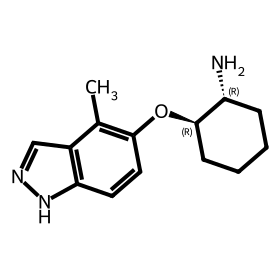 Cc1c(O[C@@H]2CCCC[C@H]2N)ccc2[nH]ncc12